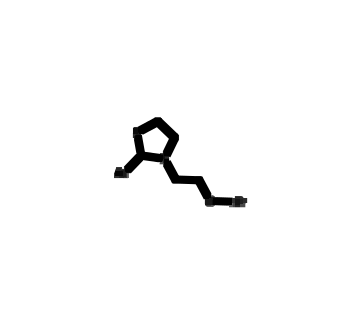 CCCOCCN1CCSC1C(C)=O